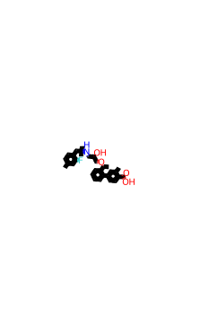 Cc1ccc(CC(C)(C)NC[C@@H](O)COC(C)c2ccccc2-c2ccc(C(=O)O)c(C)c2)c(F)c1